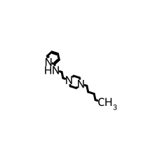 CCCCCN1CCN(CCNc2ccccn2)CC1